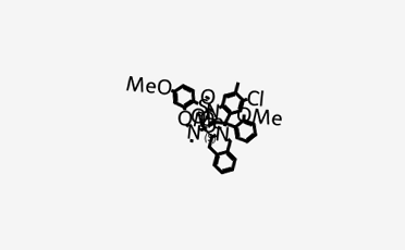 COc1ccc(S(=O)(=O)N2C(=O)C(c3ccccc3OC)(N3Cc4ccccc4C[C@H]3C(=O)N(C)C)c3cc(Cl)c(C)cc32)c(OC)c1